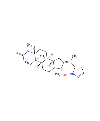 C/C(=C1\C[C@H]2[C@@H]3CC[C@H]4N(C)C(=O)C=C[C@]4(C)[C@H]3CC[C@]2(C)[C@H]1O)c1ccc[nH]1